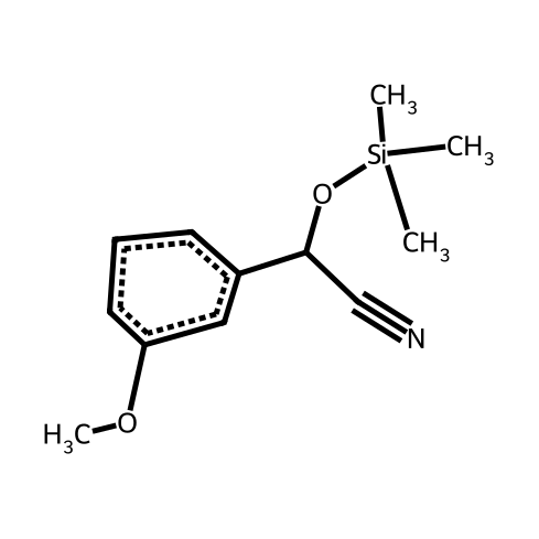 COc1cccc(C(C#N)O[Si](C)(C)C)c1